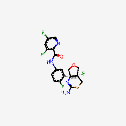 NC1=N[C@@]2(c3cc(NC(=O)c4ncc(F)cc4F)ccc3F)COC[C@@]2(F)CS1